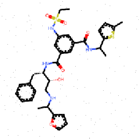 CCS(=O)(=O)Nc1cc(C(=O)NC(C)c2ccc(C)s2)cc(C(=O)N[C@@H](Cc2ccccc2)[C@H](O)CNC(C)c2ccco2)c1